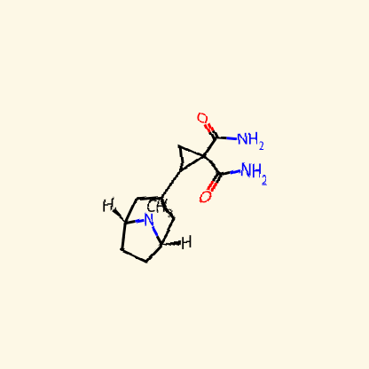 CN1[C@@H]2CC[C@H]1CC(C1CC1(C(N)=O)C(N)=O)C2